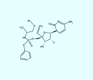 C=C[C@]1(COP(=O)(NC(C)COC(C)C)Oc2ccccc2)O[C@@H](n2ccc(N)nc2=O)[C@H](F)[C@@H]1O